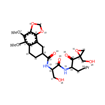 COc1c2c(c3c(c1OC)OCO3)CC(C(=O)NC(CO)C(=O)NC(CC(C)C)C(=O)C1(CO)CO1)CC2